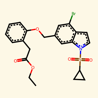 CCOC(=O)Cc1ccccc1OCc1cc(Br)c2ccn(S(=O)(=O)C3CC3)c2c1